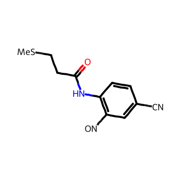 CSCCC(=O)Nc1ccc(C#N)cc1N=O